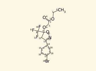 CCOC(=O)COC1(C(F)(F)F)CC(c2ccc(Br)cc2)=NO1